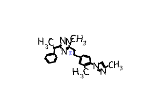 Cc1cn(-c2ccc(/C=C/c3nc(C(C)c4ccccc4)nn3C)cc2C)cn1